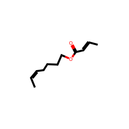 C/C=C\CCCCOC(=O)/C=C/C